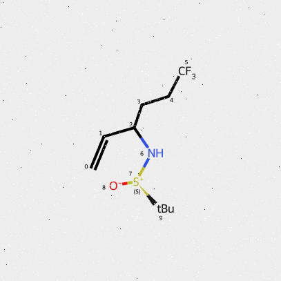 C=CC(CCC(F)(F)F)N[S@+]([O-])C(C)(C)C